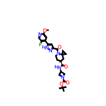 COc1cc(-c2cc(C(=O)N3CC[C@H](C(=O)NC4CN(C(=O)OC(C)(C)C)C4)CC34CC4)n[nH]2)c(F)cn1